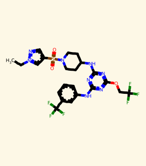 CCn1cc(S(=O)(=O)N2CCC(Nc3nc(Nc4cccc(C(F)(F)F)c4)nc(OCC(F)(F)F)n3)CC2)cn1